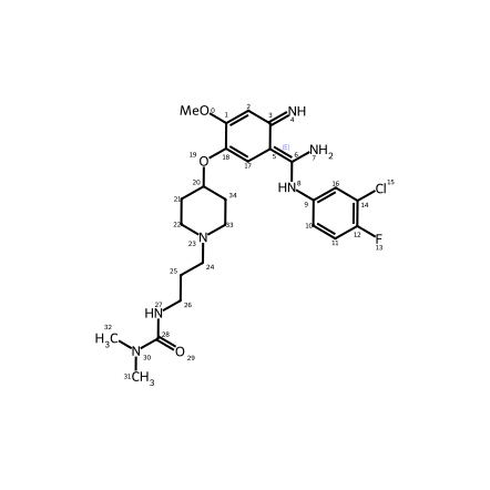 COC1=CC(=N)/C(=C(\N)Nc2ccc(F)c(Cl)c2)C=C1OC1CCN(CCCNC(=O)N(C)C)CC1